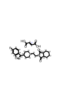 O=C(O)/C=C/C(=O)O.O=C1C2CCCCC2C(=O)N1CCN1CCC(c2noc3cc(F)ccc23)CC1